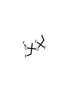 CCC(F)(F)OC(C)(CF)OF